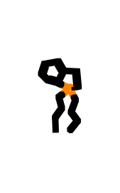 CCCC[P]1(CCCC)C=Cc2ccccc21